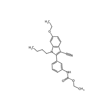 CCCCn1c(-c2cccc(NC(=O)OCC)c2)c(C#N)c2ccc(OCC)cc21